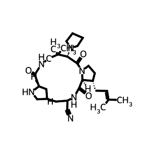 CC(C)=CC[C@H]1CCN2C(=O)[C@@H](N3CCCC3)C(C)(C)CNC(=O)[C@@H]3C[C@H](CN3)CC(C#N)NC(=O)[C@H]12